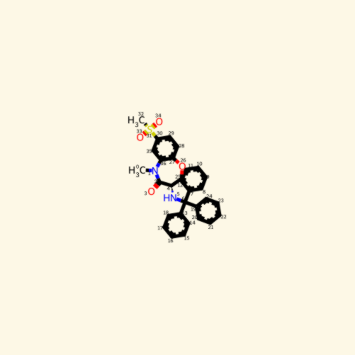 CN1C(=O)[C@@H](NC(c2ccccc2)(c2ccccc2)c2ccccc2)COc2ccc(S(C)(=O)=O)cc21